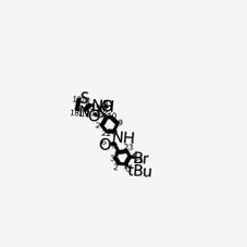 CC(C)(C)c1ccc(C(=O)Nc2ccc(S(=O)(=O)Nc3nccs3)cc2)cc1Br